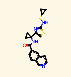 O=C(NC1(c2csc(NSC3CC3)n2)CC1)c1ccc2cnccc2c1